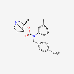 Cc1cccc(N(Cc2ccc(C(=O)O)cc2)C(=O)O[C@H]2CN3CCC2CC3)c1